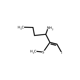 CCCC(N)/C(=C/I)SC